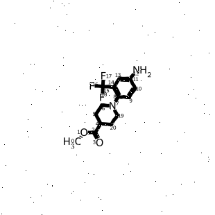 COC(=O)C1CCN(c2ccc(N)cc2C(F)(F)F)CC1